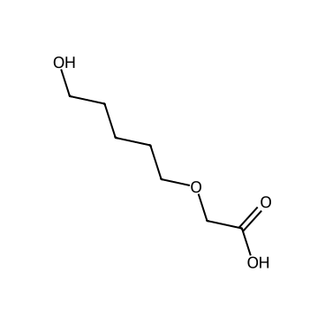 O=C(O)COCCCCCO